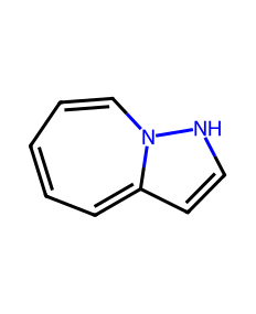 C1=CC=C2C=CNN2C=C1